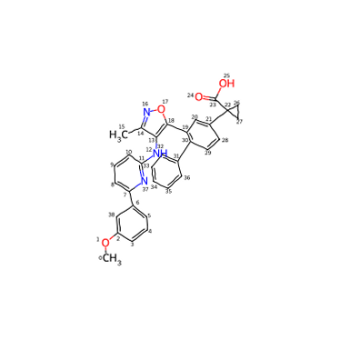 COc1cccc(-c2cccc(Nc3c(C)noc3-c3cc(C4(C(=O)O)CC4)ccc3-c3ccccc3)n2)c1